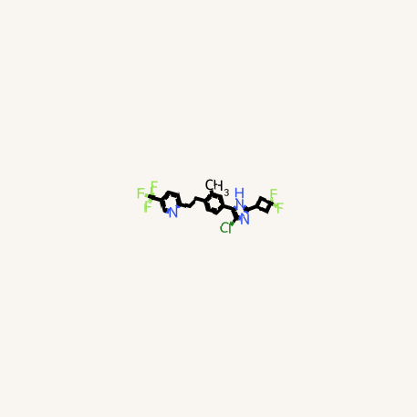 Cc1cc(-c2[nH]c(C3CC(F)(F)C3)nc2Cl)ccc1CCc1ccc(C(F)(F)F)cn1